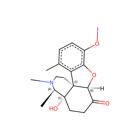 Cc1ccc(OI)c2c1[C@]13CCN(C)[C@H](C)[C@]1(O)CCC(=O)[C@@H]3O2